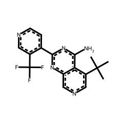 CC(C)(C)c1cncc2nc(-c3ccncc3C(F)(F)F)nc(N)c12